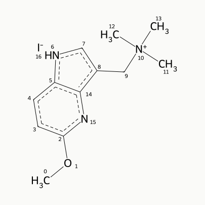 COc1ccc2[nH]cc(C[N+](C)(C)C)c2n1.[I-]